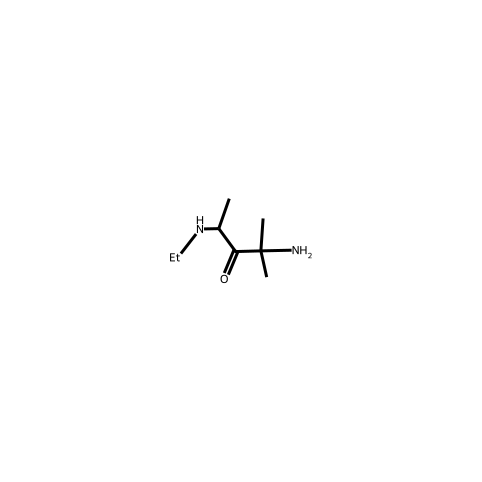 CCNC(C)C(=O)C(C)(C)N